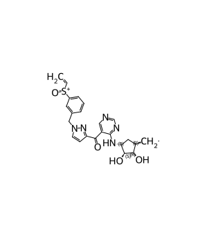 [CH2][C@@H]1C[C@@H](Nc2ncncc2C(=O)c2ccn(Cc3cccc([S+]([O-])C=C)c3)n2)[C@H](O)[C@@H]1O